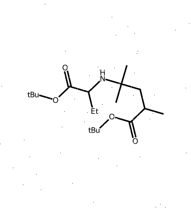 CCC(NC(C)(C)CC(C)C(=O)OC(C)(C)C)C(=O)OC(C)(C)C